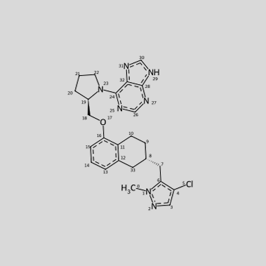 Cn1ncc(Cl)c1C[C@H]1CCc2c(cccc2OC[C@H]2CCCN2c2ncnc3[nH]cnc23)C1